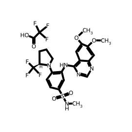 CNS(=O)(=O)c1ccc(N2CCC[C@@H]2C(F)(F)F)c(Nc2ncnc3cc(OC)c(OC)cc23)c1.O=C(O)C(F)(F)F